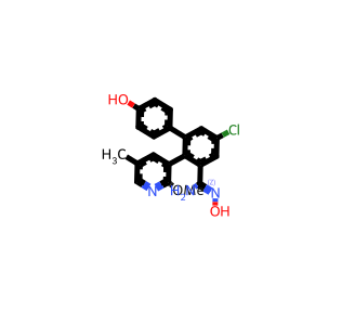 COc1ncc(C)cc1-c1c(/C(N)=N/O)cc(Cl)cc1-c1ccc(O)cc1